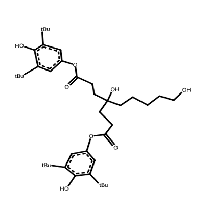 CC(C)(C)c1cc(OC(=O)CCC(O)(CCCCCO)CCC(=O)Oc2cc(C(C)(C)C)c(O)c(C(C)(C)C)c2)cc(C(C)(C)C)c1O